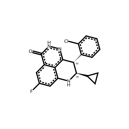 O=c1[nH]nc2c3c(cc(F)cc13)N[C@H](C1CC1)[C@H]2c1ccccc1Cl